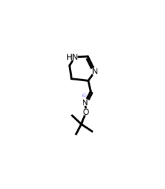 CC(C)(C)O/N=C/C1CCNC=N1